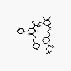 Cc1cc(OCCC2CCCN(C(=O)OC(C)(C)C)C2)cc(CNC(=O)C(CCc2ccccc2)NC(=O)OCc2ccccc2)c1C